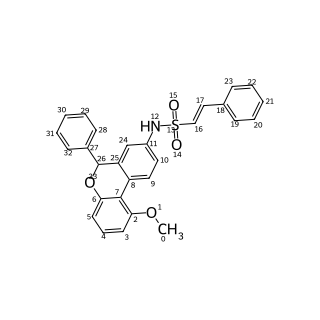 COc1cccc2c1-c1ccc(NS(=O)(=O)/C=C/c3ccccc3)cc1C(c1ccccc1)O2